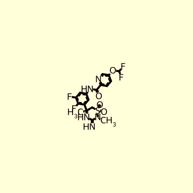 CN1C(=N)N[C@](C)(c2cc(NC(=O)c3ccc(OC(F)F)cn3)cc(F)c2F)CS1(=O)=O